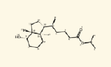 CC(C)OC(=O)CCC[C@H](C)[C@H]1CC[C@H]2[C@@H](O)CCC[C@]12C